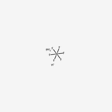 [F][W]([F])([F])([F])([F])[F].[H+].[PH2-]